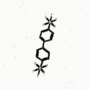 FS(F)(F)(F)(F)c1ccc(-c2ccc(S(F)(F)(F)(F)F)cc2)cc1